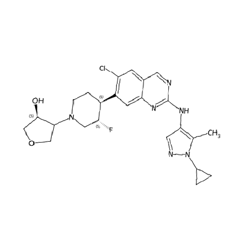 Cc1c(Nc2ncc3cc(Cl)c([C@@H]4CCN(C5COC[C@H]5O)C[C@H]4F)cc3n2)cnn1C1CC1